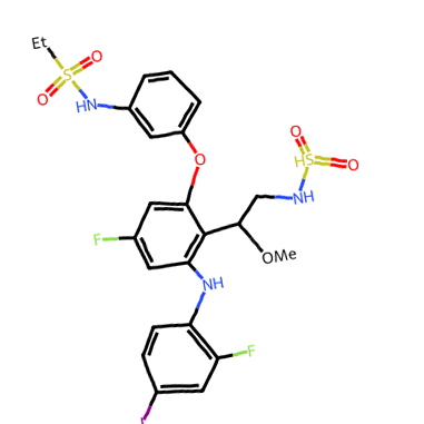 CCS(=O)(=O)Nc1cccc(Oc2cc(F)cc(Nc3ccc(I)cc3F)c2C(CN[SH](=O)=O)OC)c1